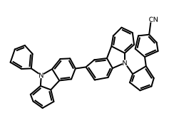 N#Cc1ccc(-c2ccccc2-n2c3ccccc3c3cc(-c4ccc5c(c4)c4ccccc4n5-c4ccccc4)ccc32)cc1